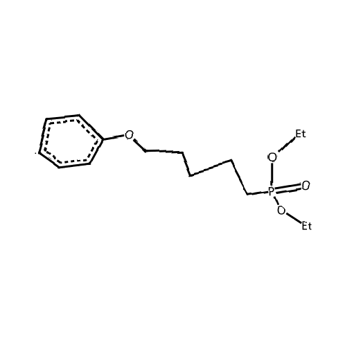 CCOP(=O)(CCCCCOc1cc[c]cc1)OCC